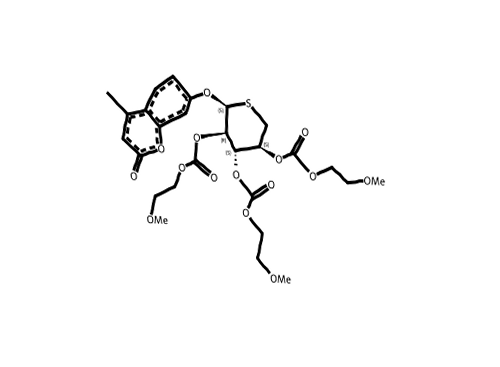 COCCOC(=O)O[C@@H]1[C@@H](OC(=O)OCCOC)[C@@H](Oc2ccc3c(C)cc(=O)oc3c2)SC[C@H]1OC(=O)OCCOC